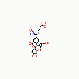 O=CNC(CCCCC(=O)O)c1ccc2c(c1)C(=O)OC21c2ccc(O)cc2Oc2cc(O)ccc21